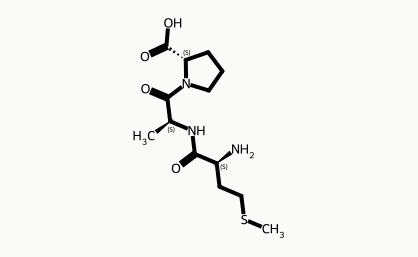 CSCC[C@H](N)C(=O)N[C@@H](C)C(=O)N1CCC[C@H]1C(=O)O